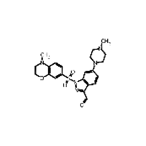 CN1CCN(c2ccc3c(C=O)nn(S(=O)(=O)c4ccc5c(c4)OCCN5C)c3c2)CC1